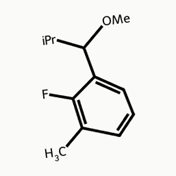 COC(c1cccc(C)c1F)C(C)C